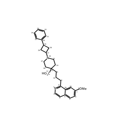 COc1ccc2ccnc(CCCC3(C(=O)O)CCN(C4CC(c5ccccc5)C4)CC3)c2c1